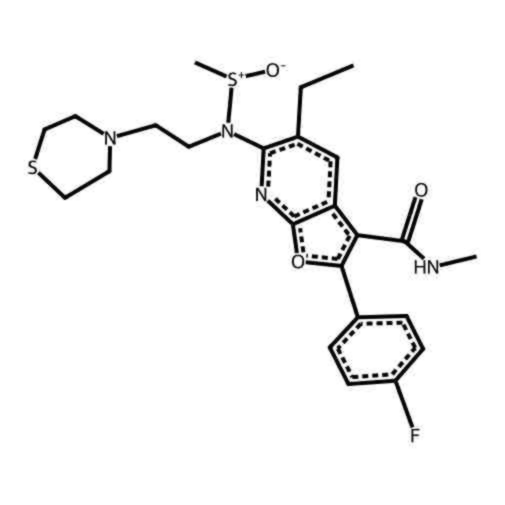 CCc1cc2c(C(=O)NC)c(-c3ccc(F)cc3)oc2nc1N(CCN1CCSCC1)[S+](C)[O-]